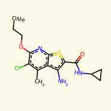 COCCOc1nc2sc(C(=O)NC3CC3)c(N)c2c(C)c1Cl